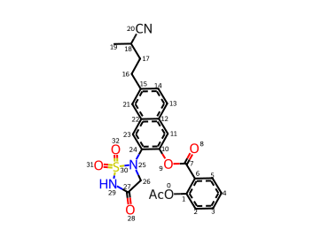 CC(=O)Oc1ccccc1C(=O)Oc1cc2ccc(CCC(C)C#N)cc2cc1N1CC(=O)NS1(=O)=O